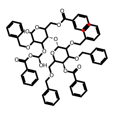 O=C(OCC1O[C@H](O)C(OCc2ccccc2)C(O[C@@H](O)OC(=O)c2ccccc2)[C@H]1O[C@H]1OC(COCc2ccccc2)[C@H](OC(=O)c2ccccc2)C(OCc2ccccc2)C1OCc1ccccc1)c1ccccc1